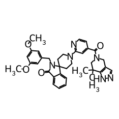 COc1cc(CN2C(=O)c3ccccc3C23CCN(c2cc(C(=O)N4Cc5cn[nH]c5C(C)(C)C4)ccn2)CC3)cc(OC)c1